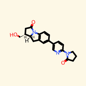 O=C1CCCN1c1ccc(-c2ccc3c(c2)C[C@H]2[C@H](CO)CC(=O)N32)cn1